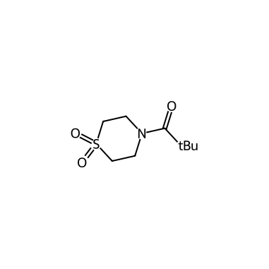 CC(C)(C)C(=O)N1CCS(=O)(=O)CC1